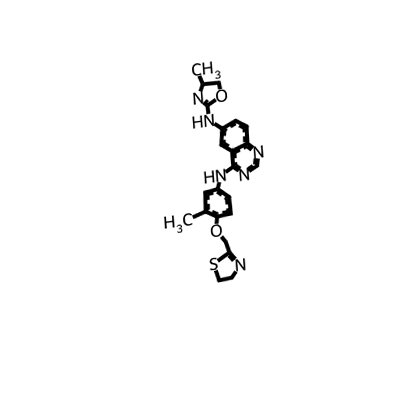 Cc1cc(Nc2ncnc3ccc(NC4=NC(C)CO4)cc23)ccc1OCC1=NCCS1